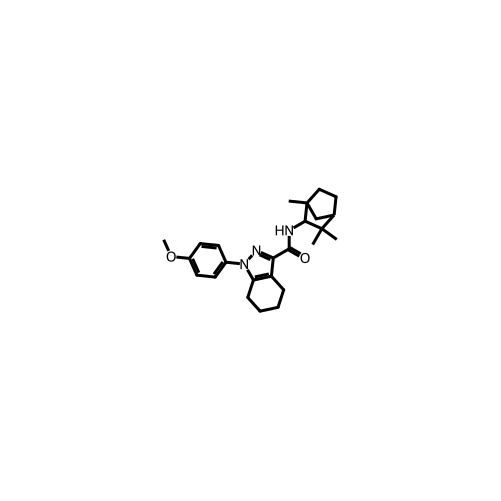 COc1ccc(-n2nc(C(=O)NC3C4(C)CCC(C4)C3(C)C)c3c2CCCC3)cc1